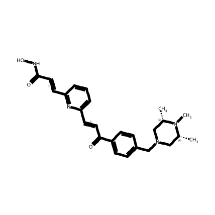 C[C@@H]1CN(Cc2ccc(C(=O)/C=C/c3cccc(/C=C/C(=O)NO)n3)cc2)C[C@H](C)N1C